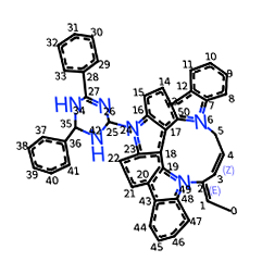 C/C=C1\C=C/Cn2c3ccccc3c3ccc4c(c5c6c(ccc5n4C4N=C(c5ccccc5)NC(c5ccccc5)N4)c4ccccc4n61)c32